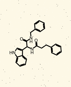 O=C(CCc1ccccc1)NC(C(=O)NCc1ccccc1)c1c[nH]c2ccccc12